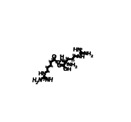 N=C(N)NCCCCC(=O)ON[C@@](N)(CCCNC(=N)N)C(=O)O